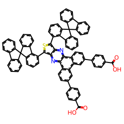 O=C(O)c1ccc(-c2ccc3c(c2)c2cc(-c4ccc(C(=O)O)cc4)ccc2c2nc4c(-c5cccc6c5-c5ccccc5C65c6ccccc6-c6ccccc65)sc(-c5cccc6c5-c5ccccc5C65c6ccccc6-c6ccccc65)c4nc32)cc1